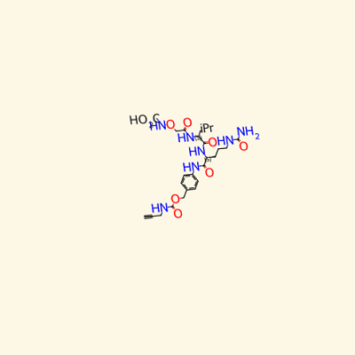 C#CCNC(=O)OCc1ccc(NC(=O)[C@H](CCCNC(N)=O)NC(=O)[C@@H](NC(=O)CONC(=O)O)C(C)C)cc1